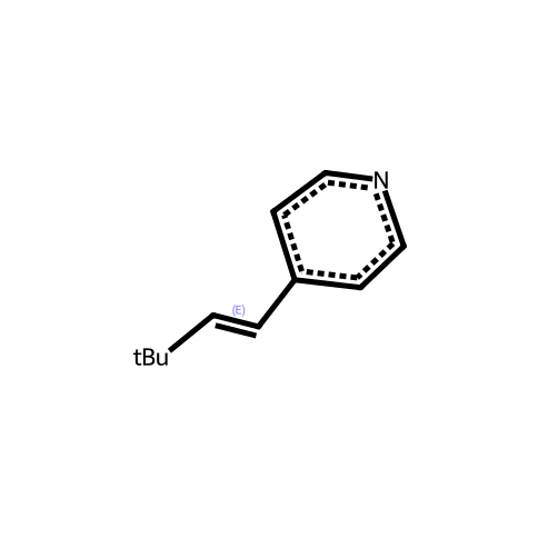 CC(C)(C)/C=C/c1ccncc1